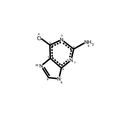 Nc1nc(Cl)c2c(n1)[N]C=N2